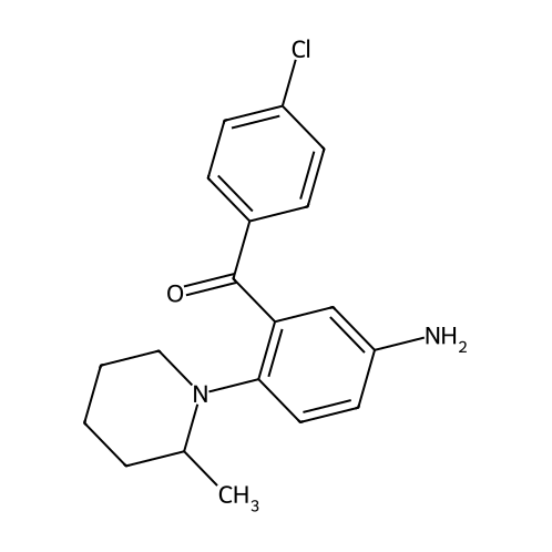 CC1CCCCN1c1ccc(N)cc1C(=O)c1ccc(Cl)cc1